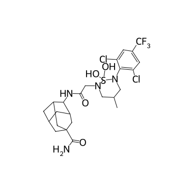 CC1CN(CC(=O)NC2C3CC4CC2CC(C(N)=O)(C4)C3)S(O)(O)N(c2c(Cl)cc(C(F)(F)F)cc2Cl)C1